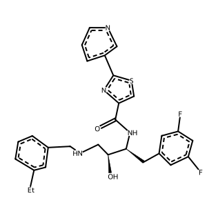 CCc1cccc(CNC[C@H](O)[C@H](Cc2cc(F)cc(F)c2)NC(=O)c2csc(-c3cccnc3)n2)c1